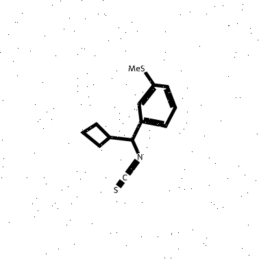 CSc1cccc(C(N=C=S)C2CCC2)c1